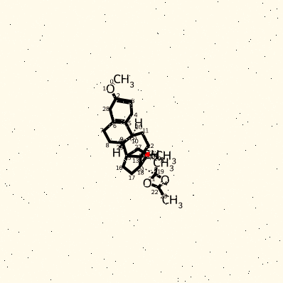 COC1=CCC2=C(CC[C@@H]3[C@@H]2CC[C@@]2(C)C34CC[C@]2(C2(C)OC(C)O2)[C@H](C)C4)C1